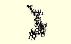 Cc1cc(C)c2cccc(OCc3c(Cl)ccc(S(=O)(=O)NC(C)(C)C(=O)N4CCN(C(=O)CC(N)CCCN(C)C)CC4)c3Cl)c2n1